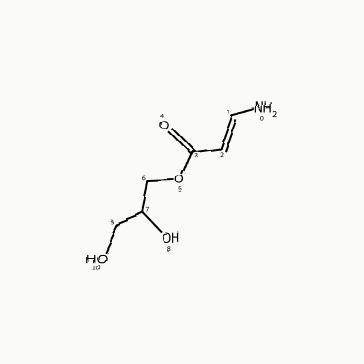 NC=CC(=O)OCC(O)CO